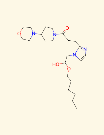 CCCCCCOC(O)Cn1ccnc1CCC(=O)N1CCC(N2CCOCC2)CC1